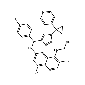 CC(C)(C)CNc1c(C#N)cnc2c(C#N)cc(NC(c3ccc(F)cc3)c3cn(C4(c5ccncc5)CC4)nn3)cc12